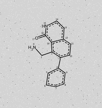 NCc1c(-c2ccccc2)ccc2cc[nH]c(=O)c12